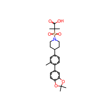 Cc1cc(C2CCN(S(=O)(=O)C(C)(C)C(=O)O)CC2)ccc1-c1ccc2c(c1)OC(C)(C)O2